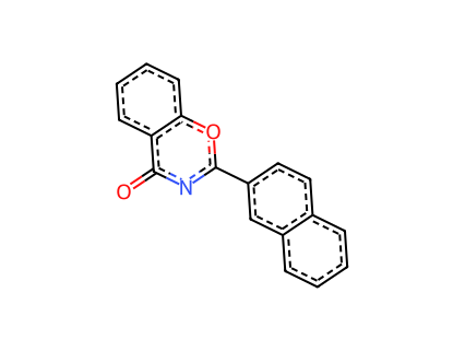 O=c1nc(-c2ccc3ccccc3c2)oc2ccccc12